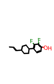 C/C=C/C1CCC(c2ccc(O)c(F)c2F)CC1